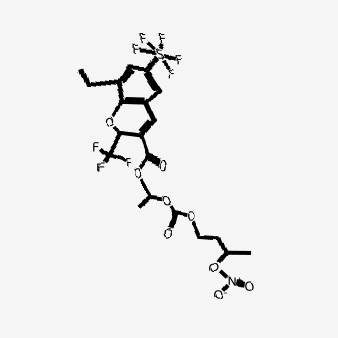 CCc1cc(S(F)(F)(F)(F)F)cc2c1OC(C(F)(F)F)C(C(=O)OC(C)OC(=O)OCCC(C)O[N+](=O)[O-])=C2